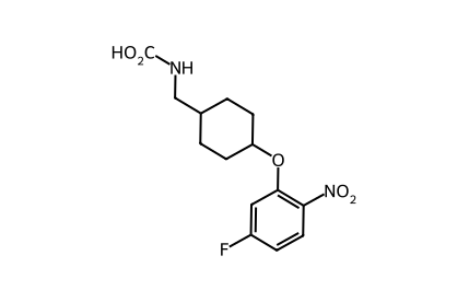 O=C(O)NCC1CCC(Oc2cc(F)ccc2[N+](=O)[O-])CC1